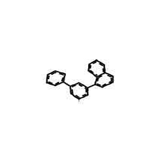 [c]1cc(-c2ccccc2)cc(-c2cccc3ccccc23)c1